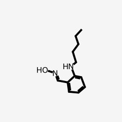 CCCCCNc1ccccc1C=NO